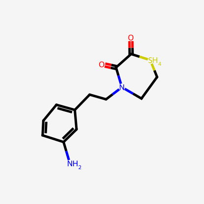 Nc1cccc(CCN2CC[SH4]C(=O)C2=O)c1